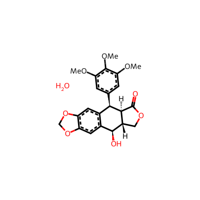 COc1cc([C@@H]2c3cc4c(cc3[C@H](O)[C@H]3COC(=O)[C@H]23)OCO4)cc(OC)c1OC.O